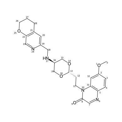 COc1ccc2ncc(=O)n(CC[C@H]3OC[C@H](NCc4cc5c(cn4)OCCC5)CO3)c2c1